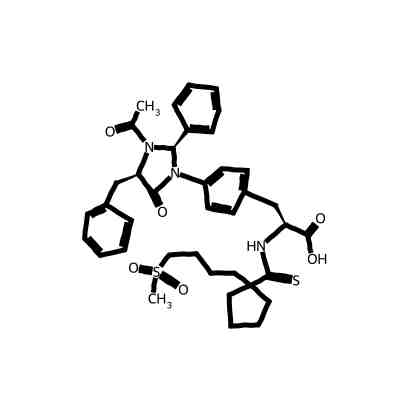 CC(=O)N1[C@H](Cc2ccccc2)C(=O)N(c2ccc(C[C@H](NC(=S)C3(CCCCS(C)(=O)=O)CCCC3)C(=O)O)cc2)[C@@H]1c1ccccc1